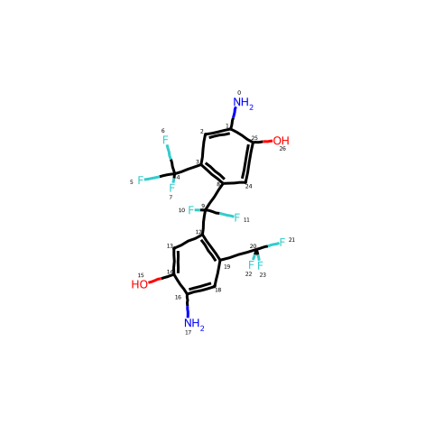 Nc1cc(C(F)(F)F)c(C(F)(F)c2cc(O)c(N)cc2C(F)(F)F)cc1O